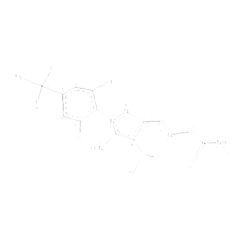 CNC(=O)O/N=C/c1nn(-c2c(Cl)cc(C(F)(F)F)cc2Cl)c(N)c1[S+](C)[O-]